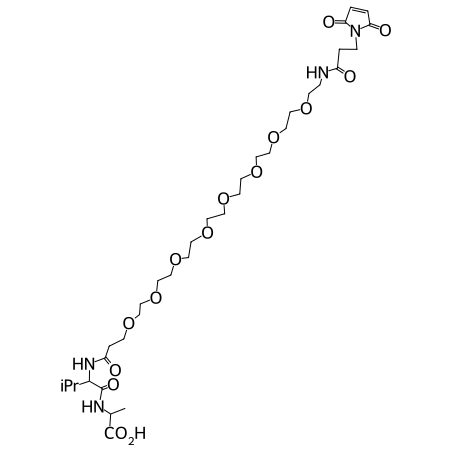 CC(NC(=O)C(NC(=O)CCOCCOCCOCCOCCOCCOCCOCCOCCNC(=O)CCN1C(=O)C=CC1=O)C(C)C)C(=O)O